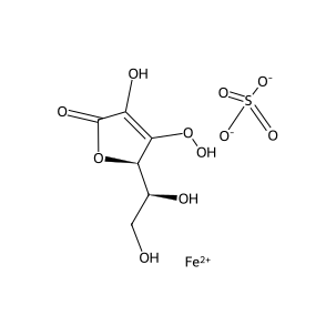 O=C1O[C@H]([C@@H](O)CO)C(OO)=C1O.O=S(=O)([O-])[O-].[Fe+2]